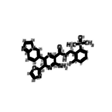 CP(C)(=O)c1cccc(F)c1CNC(=O)c1nc(-c2ccc3nccn3c2)c(-c2ncco2)nc1N